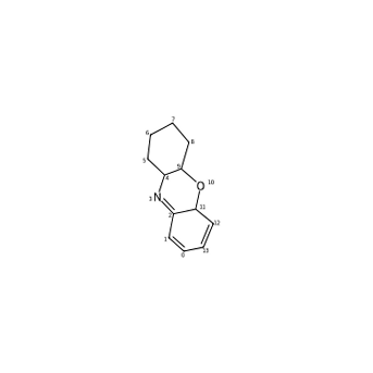 C1=CC2=NC3CCCCC3OC2C=C1